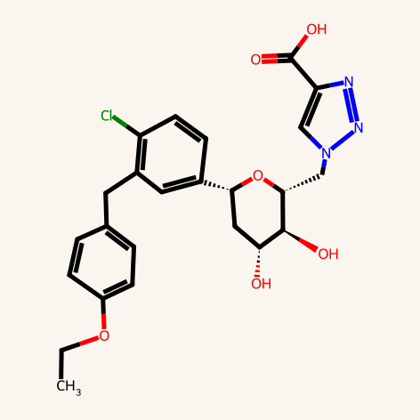 CCOc1ccc(Cc2cc([C@H]3C[C@@H](O)[C@H](O)[C@@H](Cn4cc(C(=O)O)nn4)O3)ccc2Cl)cc1